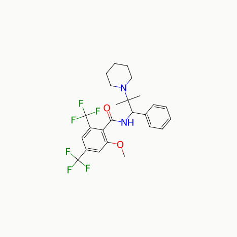 COc1cc(C(F)(F)F)cc(C(F)(F)F)c1C(=O)NC(c1ccccc1)C(C)(C)N1CCCCC1